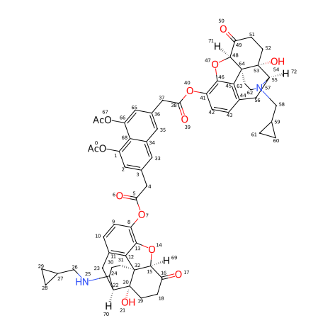 CC(=O)Oc1cc(CC(=O)Oc2ccc3c4c2O[C@H]2C(=O)CC[C@@]5(O)[C@@H](C3)C(NCC3CC3)CC[C@]425)cc2cc(CC(=O)Oc3ccc4c5c3O[C@H]3C(=O)CC[C@@]6(O)[C@@H](C4)N(CC4CC4)CC[C@]536)cc(OC(C)=O)c12